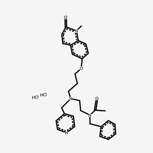 CC(=O)N(CCN(CCCOc1ccc2c(ccc(=O)n2C)c1)Cc1ccncc1)Cc1ccccc1.Cl.Cl